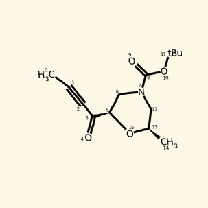 CC#CC(=O)[C@H]1CN(C(=O)OC(C)(C)C)C[C@@H](C)O1